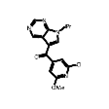 COc1cc(C(=O)c2cn(C(C)C)c3ncncc23)cc(Cl)n1